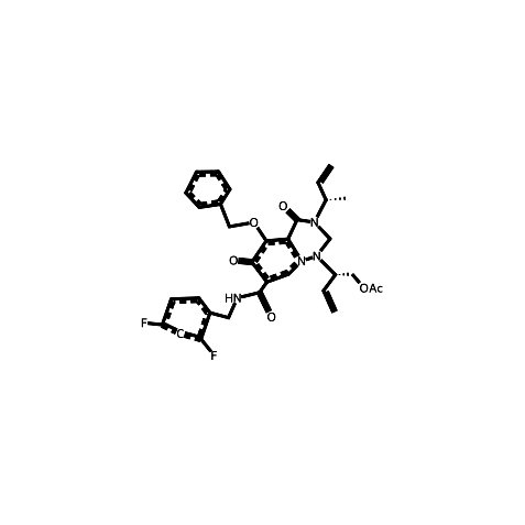 C=C[C@H](C)N1CN([C@@H](C=C)COC(C)=O)n2cc(C(=O)NCc3ccc(F)cc3F)c(=O)c(OCc3ccccc3)c2C1=O